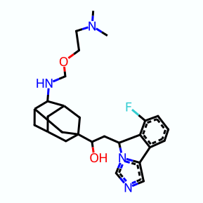 CN(C)CCOCNC1C2CC3CC1CC(C(O)CC1c4c(F)cccc4-c4cncn41)(C3)C2